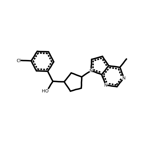 Cc1ncnc2c1ccn2C1CCC(C(O)c2cccc(Cl)c2)C1